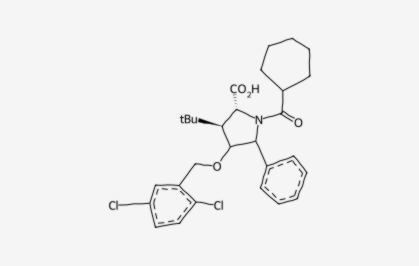 CC(C)(C)[C@@H]1C(OCc2cc(Cl)ccc2Cl)C(c2ccccc2)N(C(=O)C2CCCCC2)[C@H]1C(=O)O